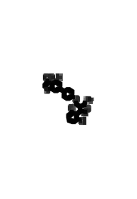 CC(C)C1ON=C(c2c(Cl)cccc2Cl)C1COc1ccc(-c2ccc3c(C(=O)O)csc3c2)cc1